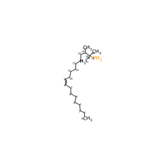 CCCCCCCC/C=C\CCCCCCC(C)C(C)(C)P